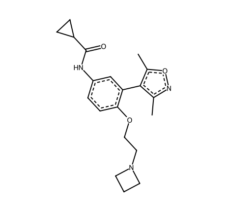 Cc1noc(C)c1-c1cc(NC(=O)C2CC2)ccc1OCCN1CCC1